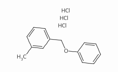 Cc1cccc(COc2ccccc2)c1.Cl.Cl.Cl